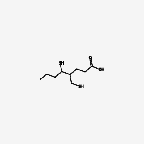 CCCC(S)C(CS)CCC(=O)O